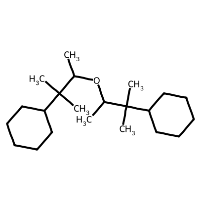 CC(OC(C)C(C)(C)C1CCCCC1)C(C)(C)C1CCCCC1